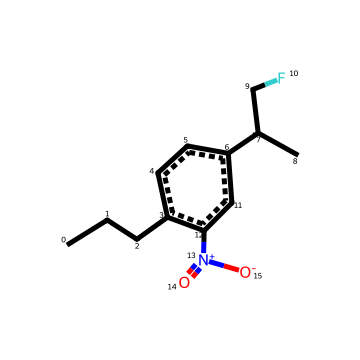 CCCc1ccc([C](C)CF)cc1[N+](=O)[O-]